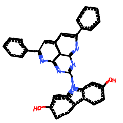 Oc1ccc2c3ccc(O)cc3n(C3=NC4=NC(c5ccccc5)=CC5=CC(c6ccccc6)=NC(=N3)C54)c2c1